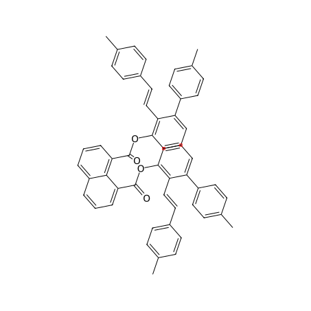 Cc1ccc(C=Cc2c(OC(=O)c3cccc4cccc(C(=O)Oc5cccc(-c6ccc(C)cc6)c5C=Cc5ccc(C)cc5)c34)cccc2-c2ccc(C)cc2)cc1